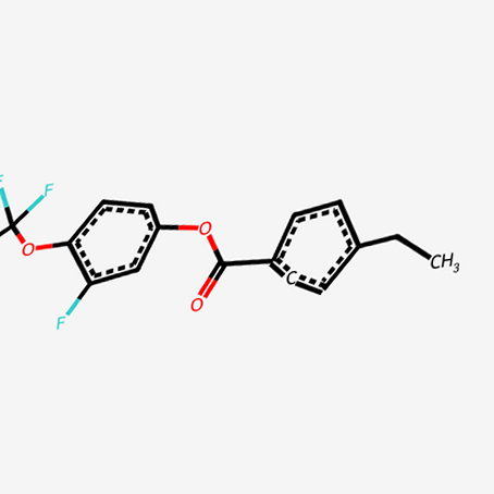 CCc1ccc(C(=O)Oc2ccc(OC(F)(F)F)c(F)c2)cc1